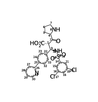 O=C(O)[C@H](C(=O)C1CCCN1)[C@@H](NS(=O)(=O)c1cc(Cl)cc(Cl)c1)c1ccc(-c2ccccn2)cc1